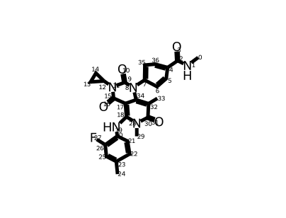 CNC(=O)c1ccc(-n2c(=O)n(C3CC3)c(=O)c3c(Nc4ccc(C)cc4F)n(C)c(=O)c(C)c32)cc1